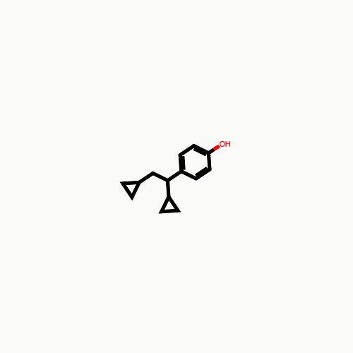 Oc1ccc(C(CC2CC2)C2CC2)cc1